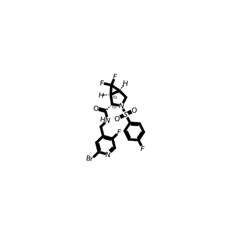 O=C(NCc1cc(Br)ncc1F)[C@@H]1[C@@H]2[C@H](CN1S(=O)(=O)c1ccc(F)cc1)C2(F)F